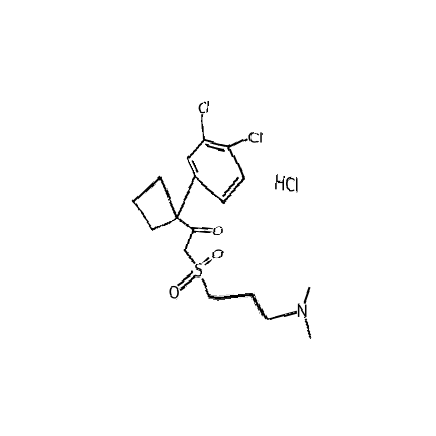 CN(C)CCCS(=O)(=O)CC(=O)C1(c2ccc(Cl)c(Cl)c2)CCC1.Cl